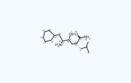 CC(C)C[C@H](C[C@H](O)[C@@H](N)CC1CCCCC1)C(N)=O